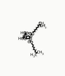 CC(C)CCCCCCCOC(=O)OC1CC(OC(=O)O)C(OC(=O)O)CC1OC(=O)OCCCCCCCC(C)C